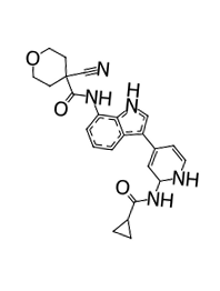 N#CC1(C(=O)Nc2cccc3c(C4=CC(NC(=O)C5CC5)NC=C4)c[nH]c23)CCOCC1